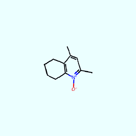 Cc1cc(C)[n+]([O-])c2c1CCCC2